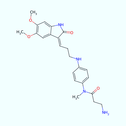 COc1cc2c(cc1OC)C(=CCCNc1ccc(N(C)C(=O)CCN)cc1)C(=O)N2